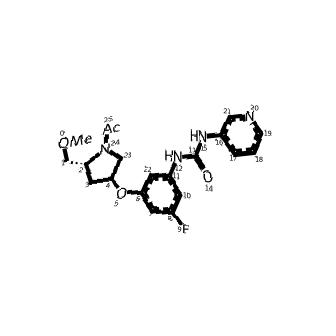 COC[C@H]1C[C@H](Oc2cc(F)cc(NC(=O)Nc3cccnc3)c2)CN1C(C)=O